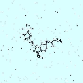 C=CC(=O)Nc1cnc2c(c1)c(C#Cc1ccc(C(F)(F)F)s1)cn2C